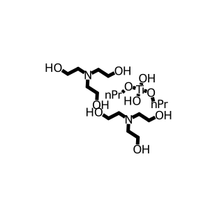 CCC[O][Ti]([OH])([OH])[O]CCC.OCCN(CCO)CCO.OCCN(CCO)CCO